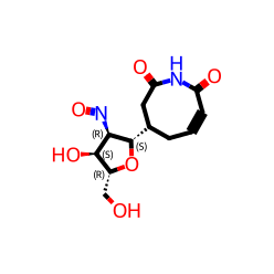 O=N[C@@H]1[C@H](O)[C@@H](CO)O[C@H]1C1CC#CC(=O)NC(=O)C1